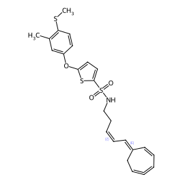 CSc1ccc(Oc2ccc(S(=O)(=O)NCC/C=C\C=C3\C=CC=C=CC3)s2)cc1C